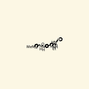 CCNc1nc(-c2ccc(NC(=O)NCc3ccc(NC)nc3)cc2)ccc1C(=O)NCCN1CCCCC1